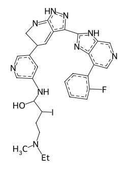 CCN(C)CCC(I)C(O)Nc1cncc(C2C=c3c(-c4nc5c(-c6ccccc6F)cncc5[nH]4)n[nH]c3=NC2)c1